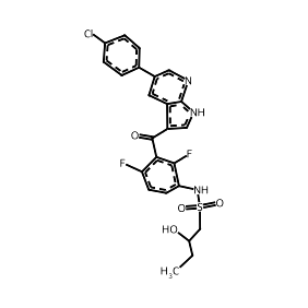 CCC(O)CS(=O)(=O)Nc1ccc(F)c(C(=O)c2c[nH]c3ncc(-c4ccc(Cl)cc4)cc23)c1F